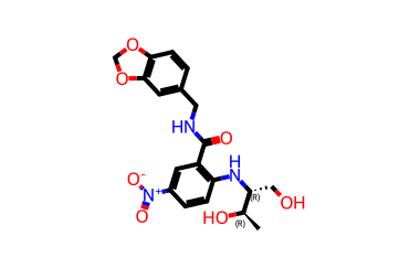 C[C@@H](O)[C@@H](CO)Nc1ccc([N+](=O)[O-])cc1C(=O)NCc1ccc2c(c1)OCO2